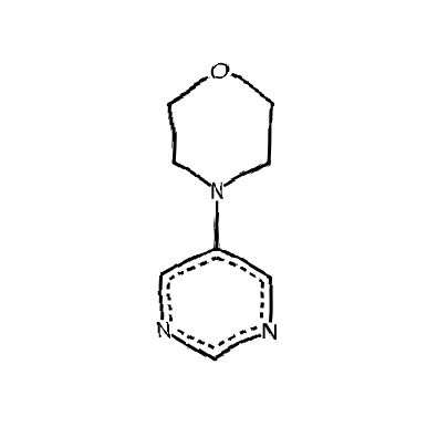 c1ncc(N2CCOCC2)cn1